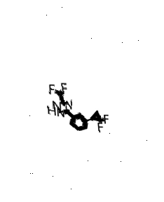 FC(F)c1n[nH]c(-c2cccc([C@H]3CC3(F)F)c2)n1